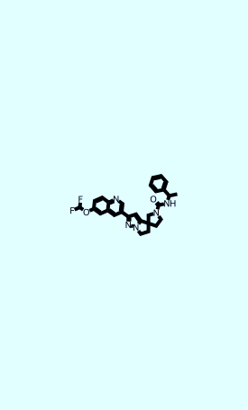 CC(NC(=O)N1CCC2(CCn3nc(-c4cnc5ccc(OC(F)F)cc5c4)cc32)C1)c1ccccc1